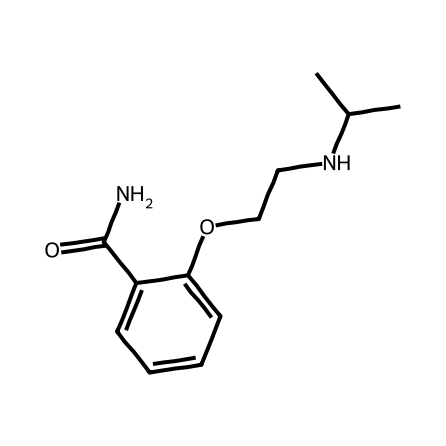 CC(C)NCCOc1ccccc1C(N)=O